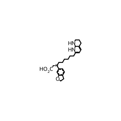 O=C(O)C[C@@H](CCCCCCC1=CC=C2CCCNC2N1)c1ccc2c(c1)OCC2